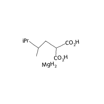 CC(C)C(C)CC(C(=O)O)C(=O)O.[MgH2]